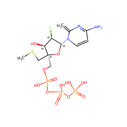 C=C1N=C(N)C=CN1[C@@H]1O[C@@](COP(=O)(O)OP(=O)(O)OP(=O)(O)O)(CSC)[C@@H](O)[C@H]1F